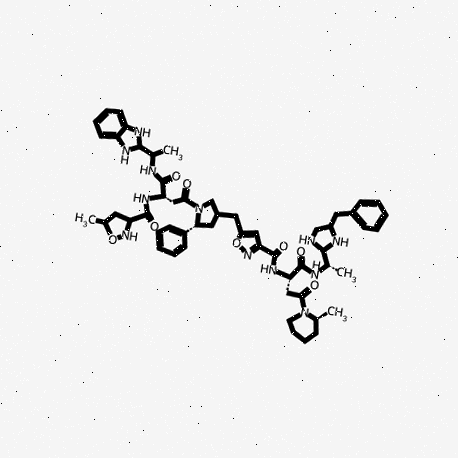 CC1CC(C(=O)N[C@@H](CC(=O)N2CC(Cc3cc(C(=O)N[C@@H](CC(=O)N4CCCC[C@@H]4C)C(=O)N[C@@H](C)C4NCC(Cc5ccccc5)N4)no3)C[C@@H]2c2ccccc2)C(=O)NC(C)C2Nc3ccccc3N2)NO1